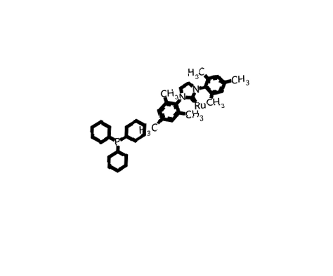 C1CCC(P(C2CCCCC2)C2CCCCC2)CC1.Cc1cc(C)c(N2CCN(c3c(C)cc(C)cc3C)[C]2=[Ru])c(C)c1